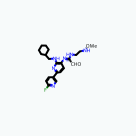 CONCCN/C(C=O)=N/c1ccc(-c2ccc(F)nc2)nc1NCC1CCCCC1